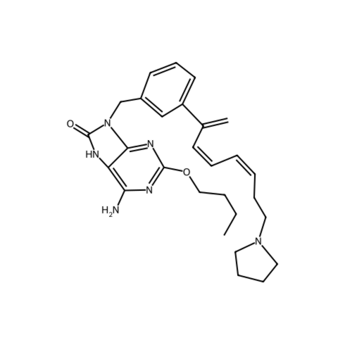 C=C(/C=C\C=C/CCN1CCCC1)c1cccc(Cn2c(=O)[nH]c3c(N)nc(OCCCC)nc32)c1